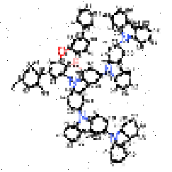 Cc1cc(C)c(-c2cc3c4c(c2)-n2c5ccc(-n6c7ccccc7c7cc(-n8c9ccccc9c9ccccc98)ccc76)cc5c5cc(-n6c7ccccc7c7cc(-n8c9ccccc9c9ccccc98)ccc76)cc(c52)B4c2ccc(-c4ccccc4)cc2O3)c(C)c1